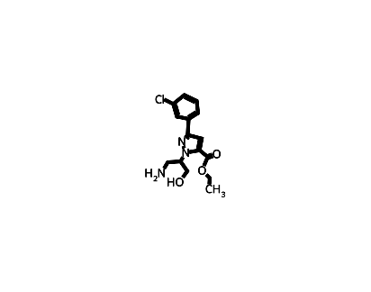 CCOC(=O)c1cc(-c2cccc(Cl)c2)nn1C(CN)CO